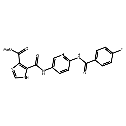 COC(=O)c1nc[nH]c1C(=O)Nc1ccc(NC(=O)c2ccc(F)cc2)nc1